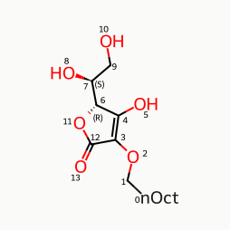 CCCCCCCCCOC1=C(O)[C@@H]([C@@H](O)CO)OC1=O